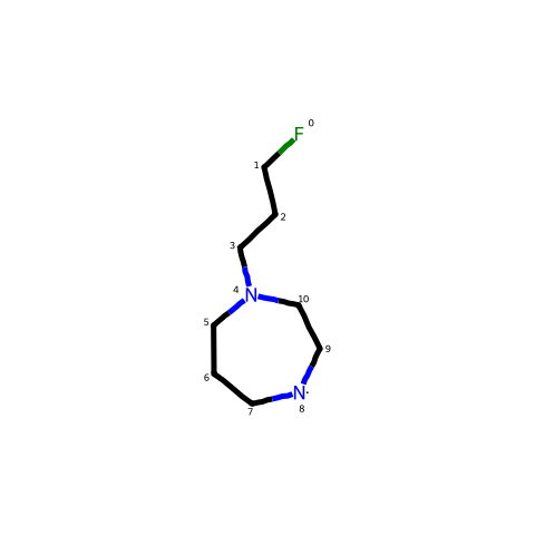 FCCCN1CCC[N]CC1